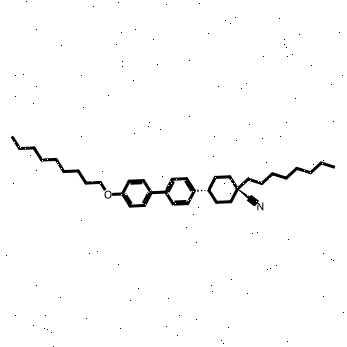 CCCCCCCCCOc1ccc(-c2ccc([C@H]3CC[C@@](C#N)(CCCCCCCC)CC3)cc2)cc1